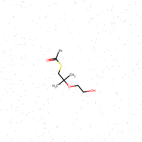 CC(C)C(=O)SCC(C)(C)OCCO